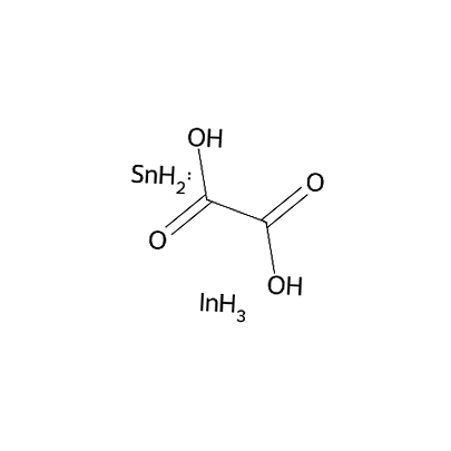 O=C(O)C(=O)O.[InH3].[SnH2]